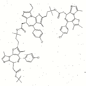 CCc1nnc2n1-c1sc(CCC(C)(C)OC(=O)CC3N=C(c4ccc(Cl)cc4)c4c(sc(C)c4C)-n4c(C)cnc43)c(C)c1C(c1ccc(Cl)cc1)=N[C@H]2CC(=O)OC(C)(C)CCc1sc2c(c1C)C(c1ccc(Cl)cc1)=NC(CC(=O)OC(C)(C)C)c1ncc(C)n1-2